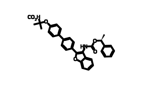 C[C@@H](OC(=O)Nc1c(-c2ccc(-c3ccc(OC(C)(C)C(=O)O)cc3)cc2)oc2ccccc12)c1ccccc1